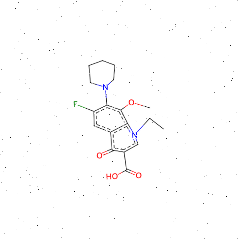 CCn1cc(C(=O)O)c(=O)c2cc(F)c(N3CCCCC3)c(OC)c21